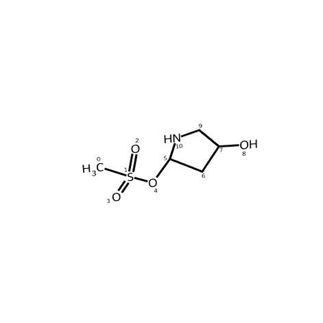 CS(=O)(=O)OC1CC(O)CN1